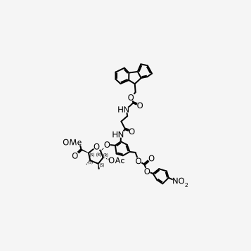 COC(=O)[C@H]1O[C@H](Oc2ccc(COC(=O)Oc3ccc([N+](=O)[O-])cc3)cc2NC(=O)CCNC(=O)OCC2c3ccccc3-c3ccccc32)[C@H](OC(C)=O)[C@@H](C)[C@@H]1C